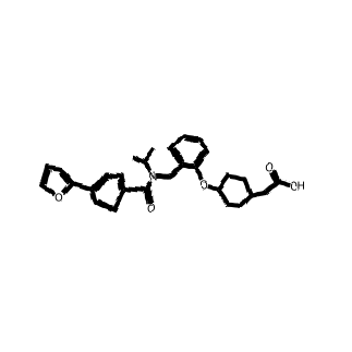 CC(C)N(Cc1ccccc1OC1CCC(CC(=O)O)CC1)C(=O)c1ccc(-c2ccco2)cc1